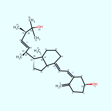 C=C1CC[C@H](O)C/C1=C/C=C1\CCC[C@@]2(C)C1CC[C@@H]2[C@@H](C)/C=C/[C@@H](C)C(C)(C)O